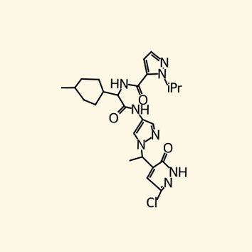 CC1CCC(C(NC(=O)c2ccnn2C(C)C)C(=O)Nc2cnn(C(C)c3cc(Cl)n[nH]c3=O)c2)CC1